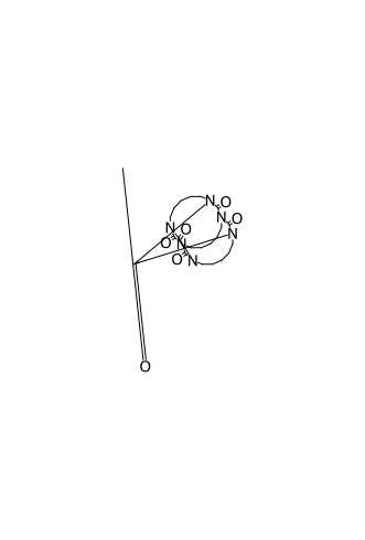 O=c1n2c(=O)n3c(=O)n1CCCCCn1c(=O)n(c(=O)n(c1=O)CCCCC3)CCCCC2